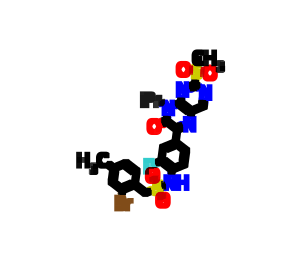 Cc1ccc(CS(=O)(=O)Nc2ccc(-c3nc4cnc(S(C)(=O)=O)nc4n(C(C)C)c3=O)cc2F)c(Br)c1